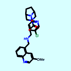 COc1cnc2cccc(CNCCC(=O)N3CC4CCC(C3)N4c3ccc(Cl)cn3)c2c1